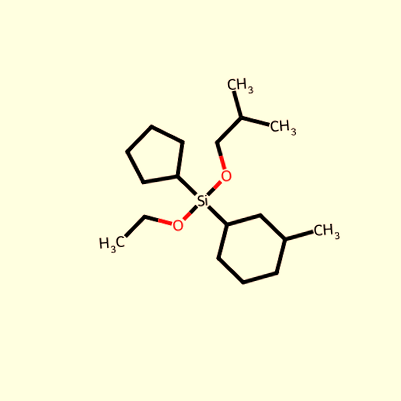 CCO[Si](OCC(C)C)(C1CCCC1)C1CCCC(C)C1